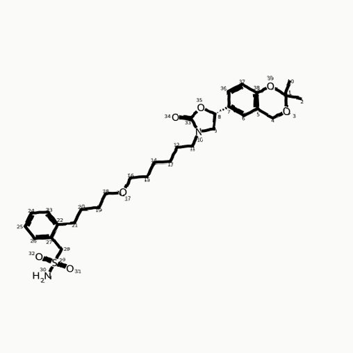 CC1(C)OCc2cc([C@@H]3CN(CCCCCCOCCCCc4ccccc4CS(N)(=O)=O)C(=O)O3)ccc2O1